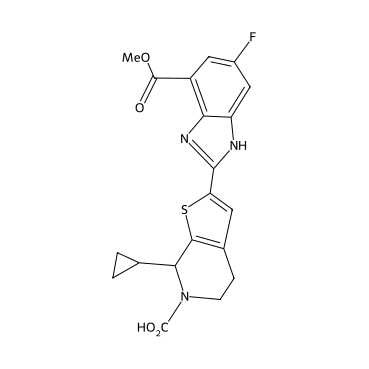 COC(=O)c1cc(F)cc2[nH]c(-c3cc4c(s3)C(C3CC3)N(C(=O)O)CC4)nc12